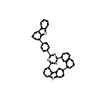 c1ccc(-c2ccc3sc4cccc(-c5nc(-c6ccccc6)nc(-c6ccc(-c7cccc8c7oc7ccccc78)cc6)n5)c4c3c2)cc1